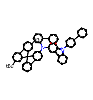 CC(C)(C)c1ccc2c(c1)C1(c3ccccc3-c3ccc(N(c4ccc5c(c4)c4ccccc4n5-c4ccc(-c5ccccc5)cc4)c4ccccc4-c4ccccc4)cc31)c1cc(C(C)(C)C)ccc1-2